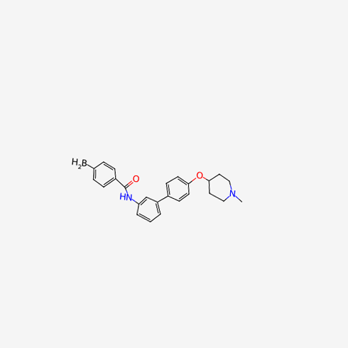 Bc1ccc(C(=O)Nc2cccc(-c3ccc(OC4CCN(C)CC4)cc3)c2)cc1